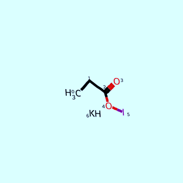 CCC(=O)OI.[KH]